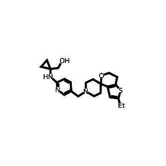 CCc1cc2c(s1)CCOC21CCN(Cc2ccc(NC3(CO)CC3)nc2)CC1